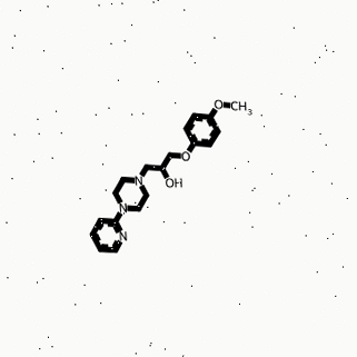 COc1ccc(OCC(O)CN2CCN(c3ccccn3)CC2)cc1